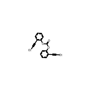 CCC#Cc1ccccc1OC(=O)Oc1ccccc1C#CCC